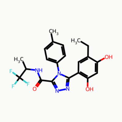 CCc1cc(-c2nnc(C(=O)NC(C)C(F)(F)F)n2-c2ccc(C)cc2)c(O)cc1O